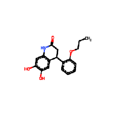 CCCOc1ccccc1C1CC(=O)Nc2cc(O)c(O)cc21